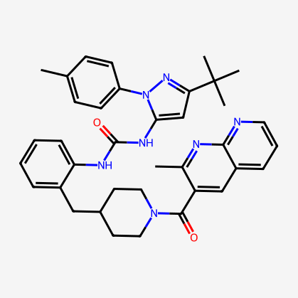 Cc1ccc(-n2nc(C(C)(C)C)cc2NC(=O)Nc2ccccc2CC2CCN(C(=O)c3cc4cccnc4nc3C)CC2)cc1